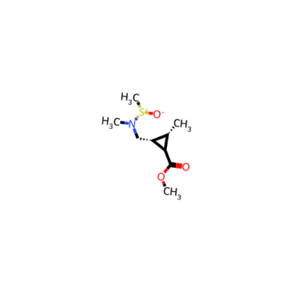 COC(=O)C1[C@@H](C)[C@H]1CN(C)[S+](C)[O-]